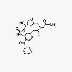 N#CCn1c(=O)[nH]c2c(C(=O)c3ccccc3)ccc(CC(=O)N(CC(N)=O)CC3CCCO3)c21